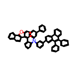 c1ccc(-c2cccc(N(c3cccc(-c4ccc5c(c4)c(-c4ccccc4)c(-c4ccccc4)c4ccccc45)c3)c3ccccc3-c3cccc4oc5c6ccccc6ccc5c34)c2)cc1